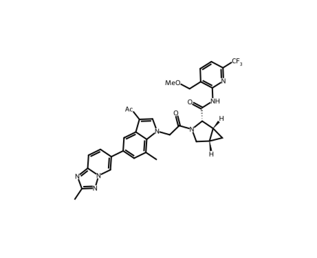 COCc1ccc(C(F)(F)F)nc1NC(=O)[C@@H]1[C@@H]2C[C@@H]2CN1C(=O)Cn1cc(C(C)=O)c2cc(-c3ccc4nc(C)nn4c3)cc(C)c21